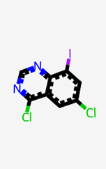 Clc1cc(I)c2ncnc(Cl)c2c1